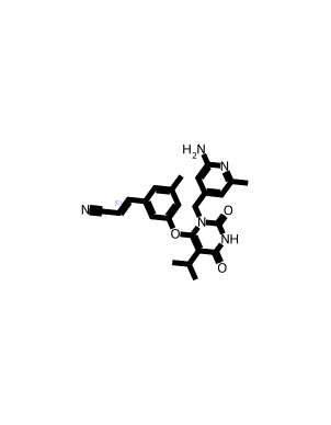 Cc1cc(/C=C/C#N)cc(Oc2c(C(C)C)c(=O)[nH]c(=O)n2Cc2cc(C)nc(N)c2)c1